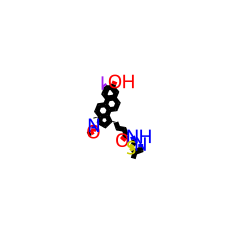 CO/N=C1\C[C@@H](CCCC(=O)Nc2ncc(C)s2)C2C3CCc4cc(O)c(I)cc4C3CC[C@]12C